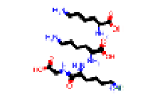 Cl.NCCCC[C@H](N)C(=O)NCC(=O)O.NCCCC[C@H](N)C(=O)O.NCCCC[C@H](N)C(=O)O